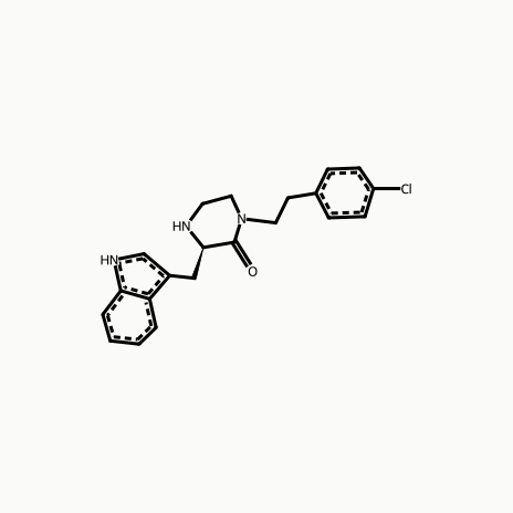 O=C1[C@@H](Cc2c[nH]c3ccccc23)NCCN1CCc1ccc(Cl)cc1